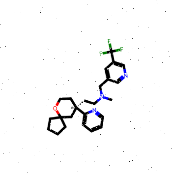 CN(CC[C@@]1(c2ccccn2)CCOC2(CCCC2)C1)Cc1cncc(C(F)(F)F)c1